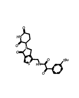 CC(C)(C)c1cccc(C(=O)C(=O)NCc2scc3c2CN(C2CCC(=O)NC2=O)C3=O)c1